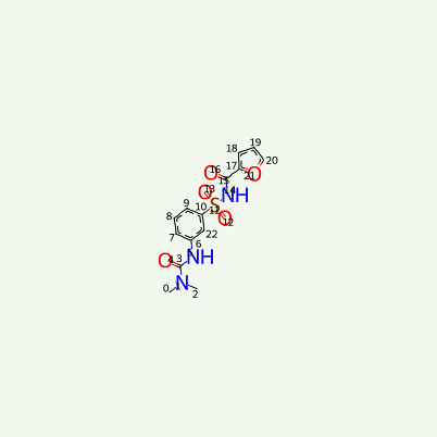 CN(C)C(=O)Nc1cccc(S(=O)(=O)NC(=O)c2ccco2)c1